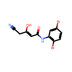 N#CC/C(O)=C/C(=O)Nc1cc(Br)ccc1Br